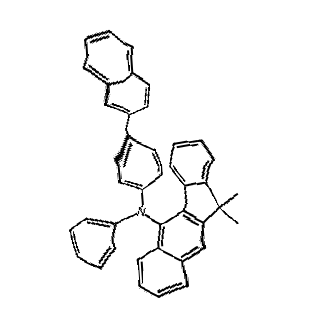 CC1(C)c2ccccc2-c2c1cc1ccccc1c2N(c1ccccc1)c1ccc(-c2ccc3ccccc3c2)cc1